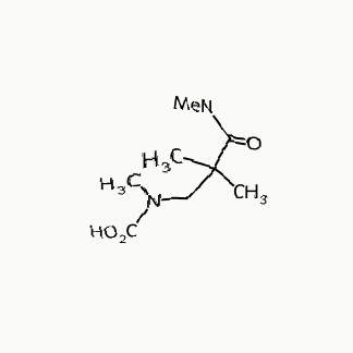 CNC(=O)C(C)(C)CN(C)C(=O)O